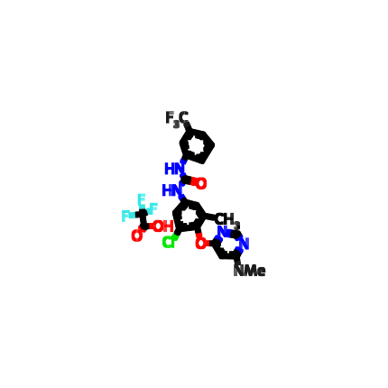 CNc1cc(Oc2c(C)cc(NC(=O)Nc3cccc(C(F)(F)F)c3)cc2Cl)ncn1.O=C(O)C(F)(F)F